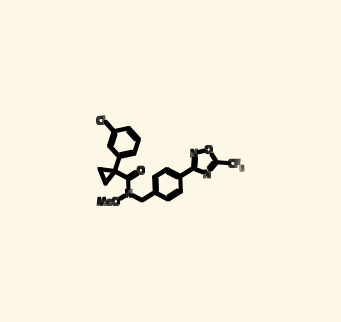 CON(Cc1ccc(-c2noc(C(F)(F)F)n2)cc1)C(=O)C1(c2cccc(Cl)c2)CC1